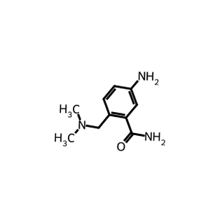 CN(C)Cc1ccc(N)cc1C(N)=O